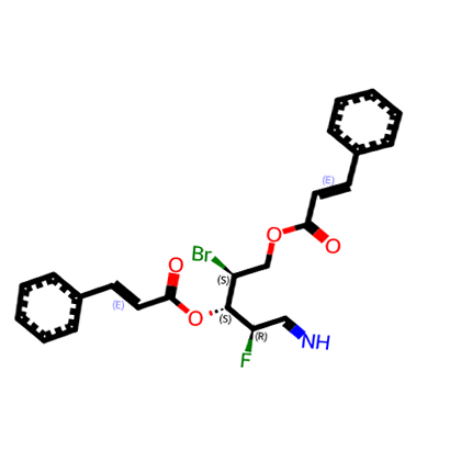 N=C[C@@H](F)[C@H](OC(=O)/C=C/c1ccccc1)[C@@H](Br)COC(=O)/C=C/c1ccccc1